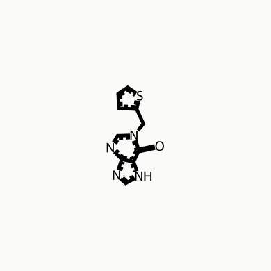 O=c1c2[nH]cnc2ncn1Cc1cccs1